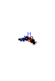 CCCN1CC(c2ccc(NS(=O)(=O)c3ccc(C(C)C)cc3)cn2)C1